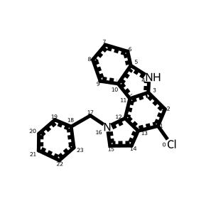 Clc1cc2[nH]c3ccccc3c2c2c1ccn2Cc1ccccc1